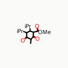 COC(=O)C1C(=O)C(C)C(=O)C(C(C)C)C1C(C)C